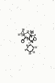 O=C1N2[C@H](CO[C@@H]2c2ccccc2)CC12CC2